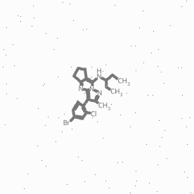 CCC(CC)Nc1c2c(nc3c(-c4ccc(Br)cc4Cl)c(C)nn13)CCC2